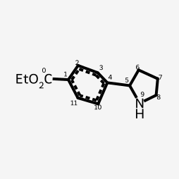 CCOC(=O)c1ccc(C2CCCN2)cc1